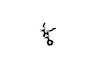 CCCNc1nc(-c2ccccc2)ncc1C(=O)OCC